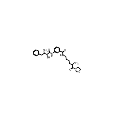 NC(CCCCNC(=O)c1cccc(NC(=O)C(S)C(N)Cc2ccccc2)c1)C(=O)N1CCSC1